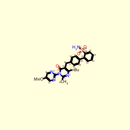 CCCCc1nc(C)n(-c2ncc(OC)cn2)c(=O)c1Cc1ccc(-c2ccccc2S(N)(=O)=O)cc1